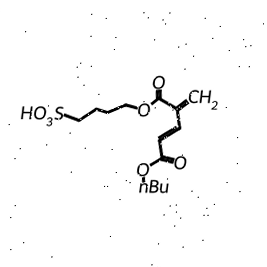 C=C(C=CC(=O)OCCCC)C(=O)OCCCCS(=O)(=O)O